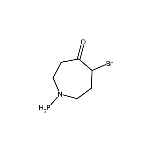 O=C1CCN(P)CCC1Br